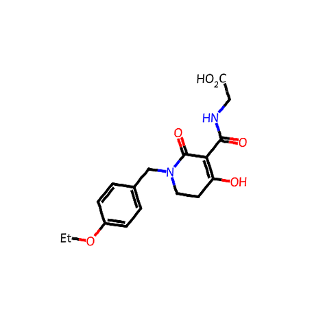 CCOc1ccc(CN2CCC(O)=C(C(=O)NCC(=O)O)C2=O)cc1